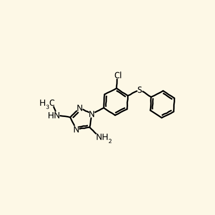 CNc1nc(N)n(-c2ccc(Sc3ccccc3)c(Cl)c2)n1